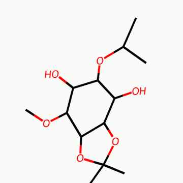 COC1C(O)C(OC(C)C)C(O)C2OC(C)(C)OC12